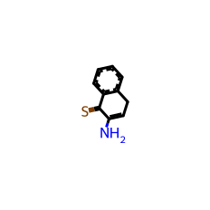 NC1=CCc2ccccc2C1=S